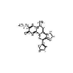 CC(C)(C)C1Cc2c(cc(-c3ccco3)c3c2CCO3)-c2cc(=O)c(C(=O)O)cn21